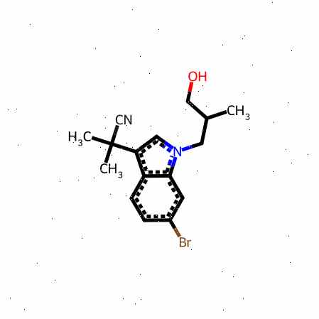 CC(CO)Cn1cc(C(C)(C)C#N)c2ccc(Br)cc21